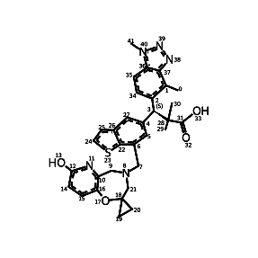 Cc1c([C@H](c2cc(CN3Cc4nc(O)ccc4OC4(CC4)C3)c3sccc3c2)C(C)(C)C(=O)O)ccc2c1nnn2C